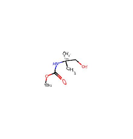 [CH2][C@@](C)(CO)NC(=O)OC(C)(C)C